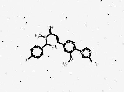 COc1cc(/C=C/C(=N)N(C)C(C)c2ccc(F)cc2)ccc1-n1cnc(C)c1